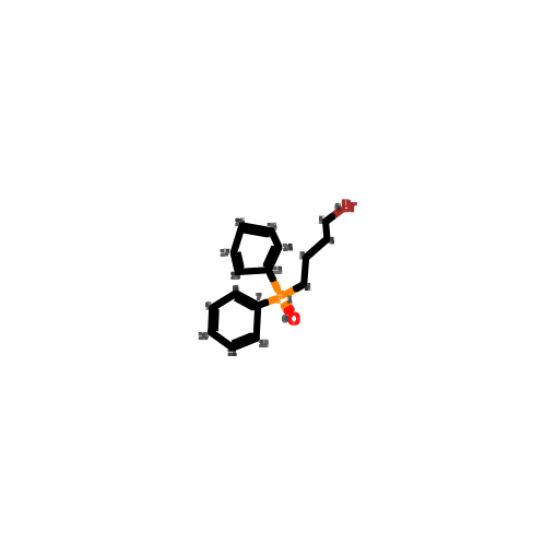 O=P(CCCCBr)(c1ccccc1)c1ccccc1